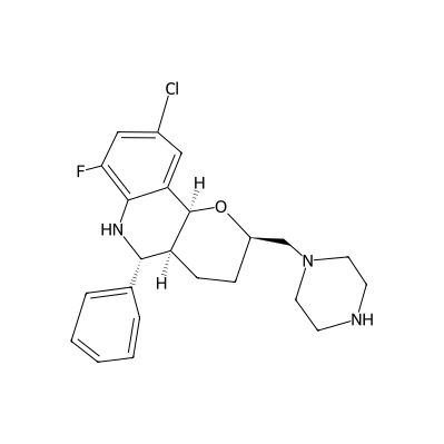 Fc1cc(Cl)cc2c1N[C@@H](c1ccccc1)[C@@H]1CC[C@H](CN3CCNCC3)O[C@H]21